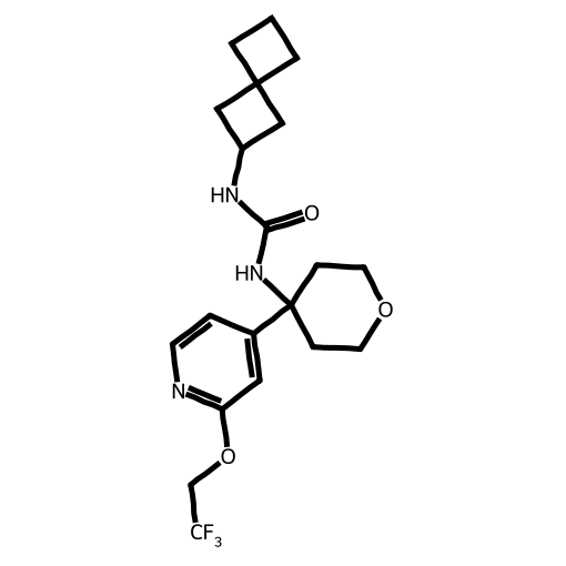 O=C(NC1CC2(CCC2)C1)NC1(c2ccnc(OCC(F)(F)F)c2)CCOCC1